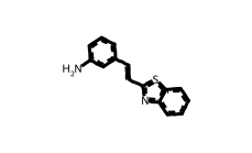 Nc1cccc(C=Cc2nc3ccccc3s2)c1